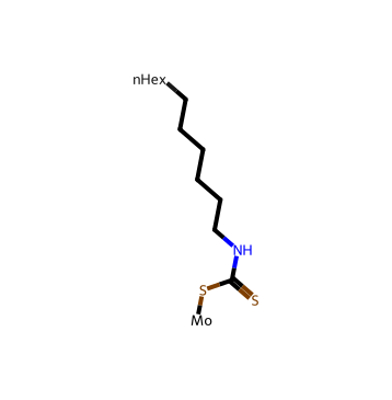 CCCCCCCCCCCCNC(=S)[S][Mo]